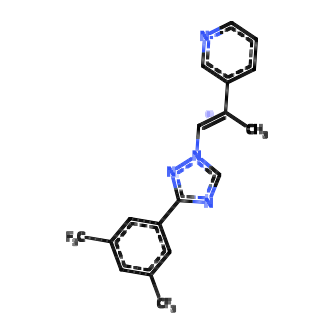 C/C(=C\n1cnc(-c2cc(C(F)(F)F)cc(C(F)(F)F)c2)n1)c1cccnc1